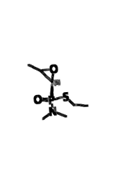 CCSP(=O)([C@@H]1OC1C)N(C)C